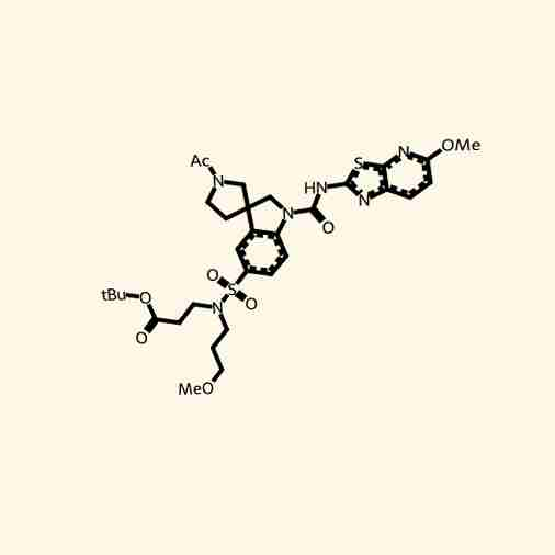 COCCCN(CCC(=O)OC(C)(C)C)S(=O)(=O)c1ccc2c(c1)C1(CCN(C(C)=O)C1)CN2C(=O)Nc1nc2ccc(OC)nc2s1